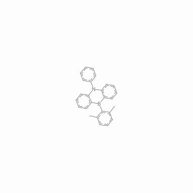 Cc1cccc(C)c1B1c2ccccc2N(c2ccccc2)c2ccccc21